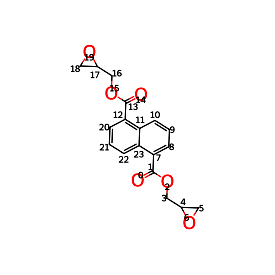 O=C(OCC1CO1)c1cccc2c(C(=O)OCC3CO3)cccc12